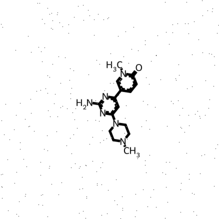 CN1CCN(c2cc(-c3ccc(=O)n(C)c3)nc(N)n2)CC1